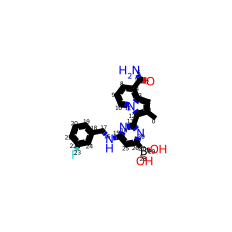 Cc1cc2c(C(N)=O)cccn2c1-c1nc(NCc2cccc(F)c2)cc(B(O)O)n1